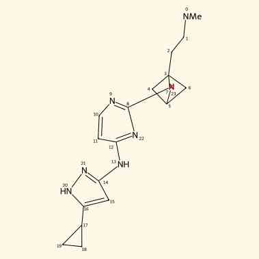 CNCCC12CC(C1)N(c1nccc(Nc3cc(C4CC4)[nH]n3)n1)C2